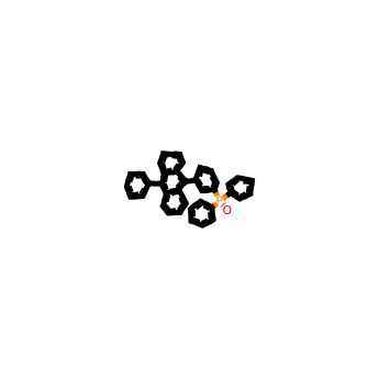 O=P(c1ccccc1)(c1ccccc1)c1cccc(-c2c3ccccc3c(-c3ccccc3)c3ccccc23)c1